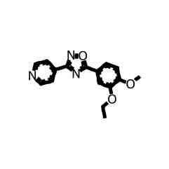 CCOc1cc(-c2nc(-c3ccncc3)no2)ccc1OC